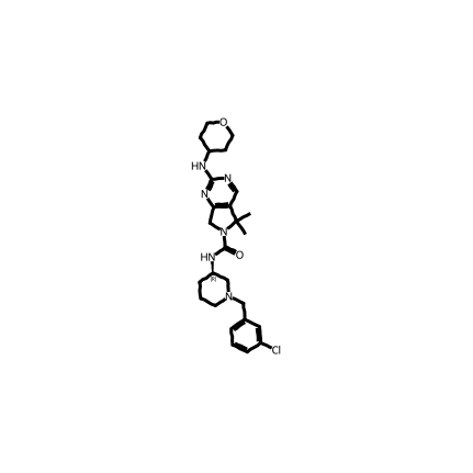 CC1(C)c2cnc(NC3CCOCC3)nc2CN1C(=O)N[C@@H]1CCCN(Cc2cccc(Cl)c2)C1